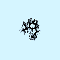 FC(F)C(F)(OC1C(C(F)(C(F)(F)F)C(F)(F)F)C(F)(F)C(F)(F)C(F)(F)C1(F)F)C(F)(F)F